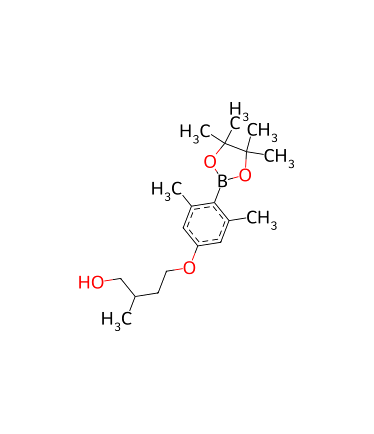 Cc1cc(OCCC(C)CO)cc(C)c1B1OC(C)(C)C(C)(C)O1